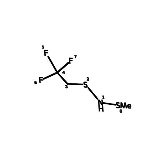 CSNSCC(F)(F)F